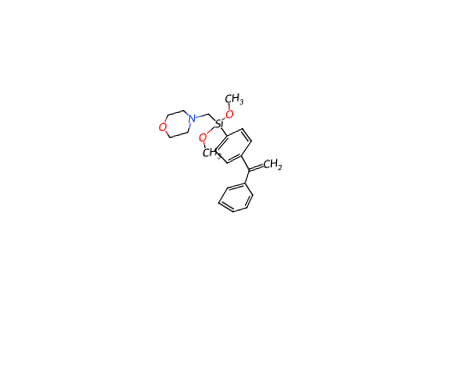 C=C(c1ccccc1)c1ccc([Si](CN2CCOCC2)(OC)OC)cc1